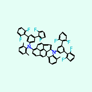 Cc1cccc(C)c1N(c1cc(-c2c(F)cccc2F)cc(-c2c(F)cccc2F)c1)c1ccc2ccc3c(N(c4cc(-c5c(F)cccc5F)cc(-c5c(F)cccc5F)c4)c4c(C)cccc4C)ccc4ccc1c2c43